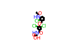 CCC(=O)Nc1cccc(COc2c(Cl)cc(C(=O)NCC(=O)O)cc2Cl)c1Cl